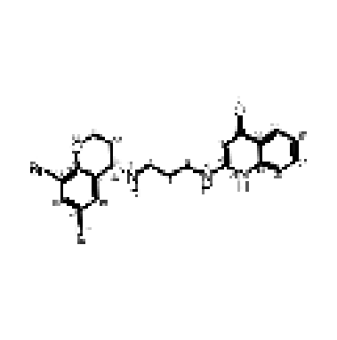 O=c1cc(NCCCN[C@H]2CCOc3c(Br)cc(Br)cc32)[nH]c2ccccc12